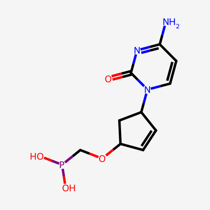 Nc1ccn(C2C=CC(OCP(O)O)C2)c(=O)n1